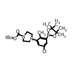 Cc1c(B2OC(C)(C)C(C)(C)O2)cc(Cl)cc1N1CCN(C(=O)OC(C)(C)C)CC1